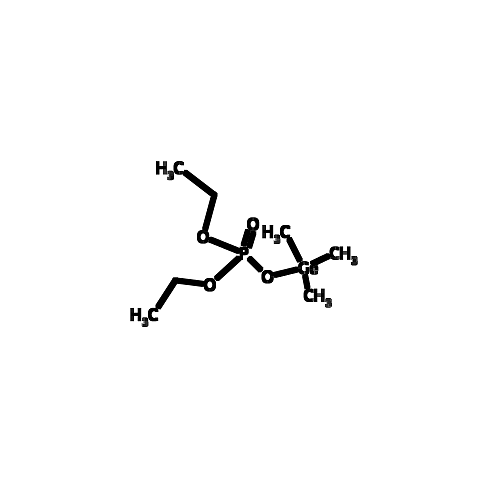 CCOP(=O)(OCC)[O][Ge]([CH3])([CH3])[CH3]